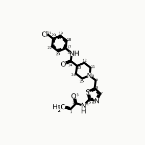 C=CC(=O)Nc1ncc(CN2CCC(C(=O)Nc3ccc(Cl)cc3)CC2)s1